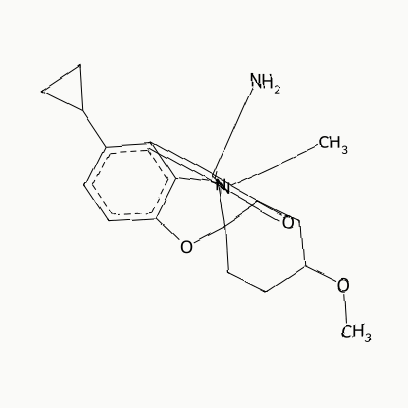 COC1CCC2(CC1)Oc1ccc(C3CC3)cc1C21N=C(N)N(C)C1=O